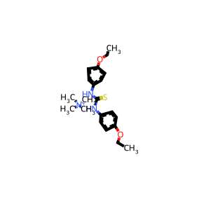 CCOc1ccc(NC(=S)Nc2ccc(OCC)cc2)cc1.C[N+](C)(C)C